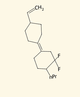 C=CC1CCC(=C2CCC(CCC)C(F)(F)C2)CC1